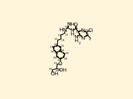 Cc1nc(N)c(C(=O)NC(=N)NCCCCc2ccc3cc(OCC(O)CO)ccc3c2)nc1Cl